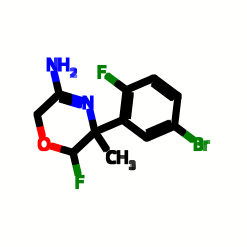 CC1(c2cc(Br)ccc2F)N=C(N)COC1F